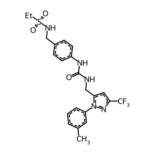 CCS(=O)(=O)NCc1ccc(NC(=O)NCc2cc(C(F)(F)F)nn2-c2cccc(C)c2)cc1